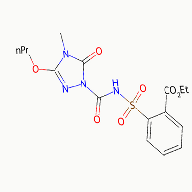 CCCOc1nn(C(=O)NS(=O)(=O)c2ccccc2C(=O)OCC)c(=O)n1C